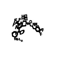 Cl.Cl.NC1CCCN(C(=O)c2nc(C(F)(F)F)n3c2CN(C(=O)C[C@H](N)Cc2cc(F)c(F)cc2F)CC3)C1